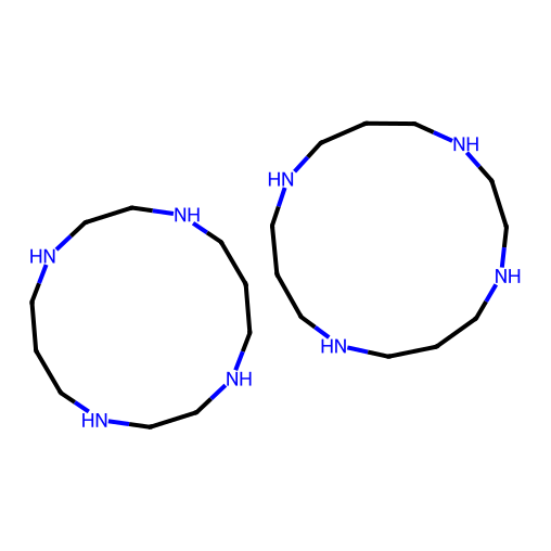 C1CNCCCNCCNCCCNC1.C1CNCCNCCCNCCNC1